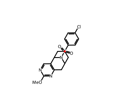 COc1ncc2c(n1)CC1CCCC2N1S(=O)(=O)c1ccc(Cl)cc1